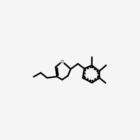 CCCC1=COC(Cc2ccc(C)c(C)c2C)CC1